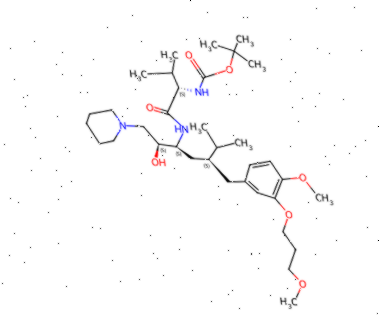 COCCCOc1cc(C[C@@H](C[C@H](NC(=O)[C@@H](NC(=O)OC(C)(C)C)C(C)C)[C@@H](O)CN2CCCCC2)C(C)C)ccc1OC